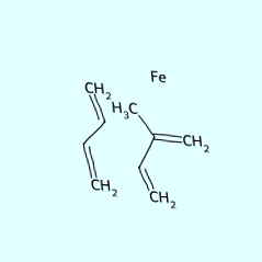 C=CC(=C)C.C=CC=C.[Fe]